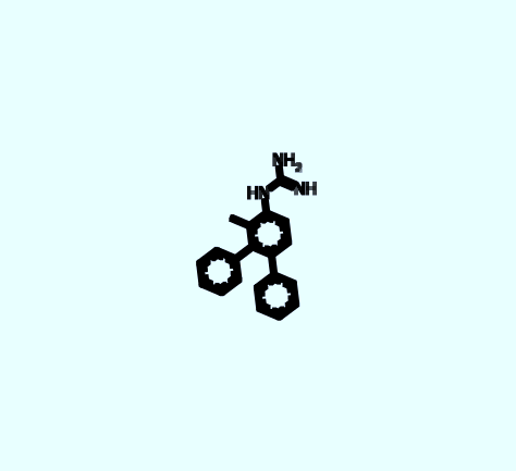 Cc1c(NC(=N)N)ccc(-c2ccccc2)c1-c1ccccc1